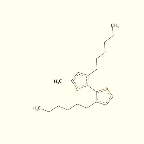 CCCCCCc1ccsc1-c1sc(C)cc1CCCCCC